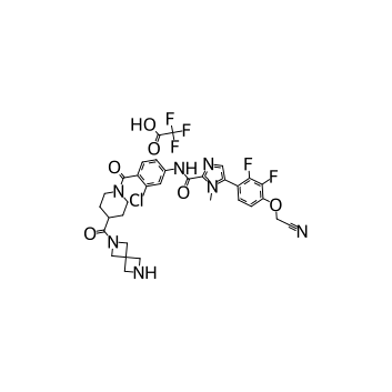 Cn1c(-c2ccc(OCC#N)c(F)c2F)cnc1C(=O)Nc1ccc(C(=O)N2CCC(C(=O)N3CC4(CNC4)C3)CC2)c(Cl)c1.O=C(O)C(F)(F)F